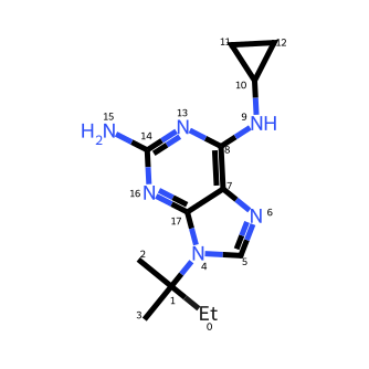 CCC(C)(C)n1cnc2c(NC3CC3)nc(N)nc21